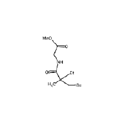 CCC(C)CC(C)(CC)C(=O)NCC(=O)OC